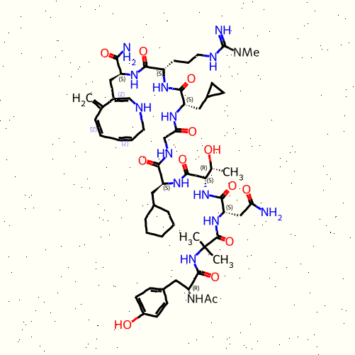 C=C1/C=C\C=C/CN/C=C\1C[C@H](NC(=O)[C@H](CCCNC(=N)NC)NC(=O)[C@H](CC1CC1)NC(=O)CNC(=O)[C@H](CC1CCCCC1)NC(=O)[C@@H](NC(=O)[C@H](CC(N)=O)NC(=O)C(C)(C)NC(=O)[C@@H](Cc1ccc(O)cc1)NC(C)=O)[C@@H](C)O)C(N)=O